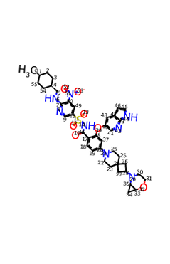 C[C@H]1CC[C@@H](CNc2ncc(S(=O)(=O)NC(=O)c3ccc(N4CCC5(CC4)CC(N4CCOC6CC64)C5)cc3Oc3cnc4[nH]ccc4c3)cc2[N+](=O)[O-])CC1